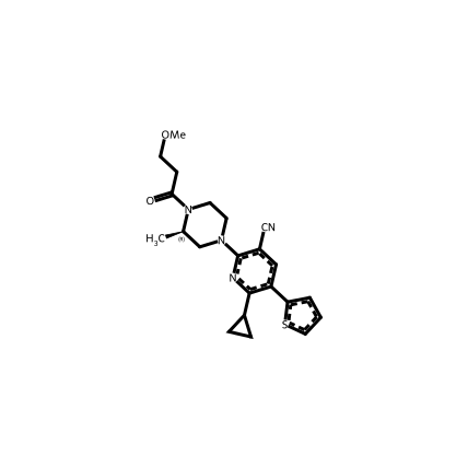 COCCC(=O)N1CCN(c2nc(C3CC3)c(-c3cccs3)cc2C#N)C[C@H]1C